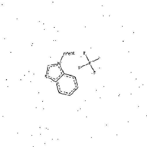 CCCCC[n+]1csc2ccccc21.F[B-](F)(F)F